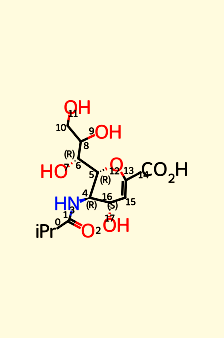 CC(C)C(=O)N[C@H]1[C@H]([C@H](O)C(O)CO)OC(C(=O)O)=C[C@@H]1O